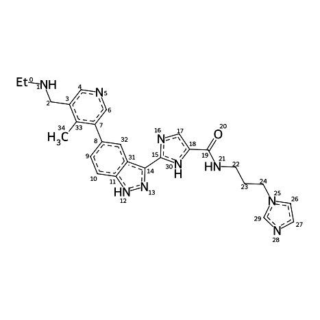 CCNCc1cncc(-c2ccc3[nH]nc(-c4ncc(C(=O)NCCCn5ccnc5)[nH]4)c3c2)c1C